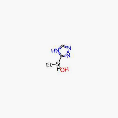 CC[SiH](O)c1nnc[nH]1